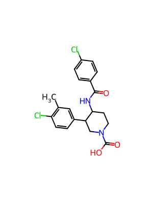 Cc1cc(C2CN(C(=O)O)CCC2NC(=O)c2ccc(Cl)cc2)ccc1Cl